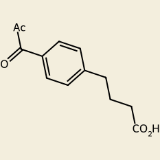 CC(=O)C(=O)c1ccc(CCCC(=O)O)cc1